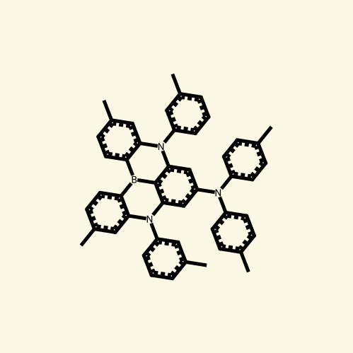 Cc1ccc(N(c2ccc(C)cc2)c2cc3c4c(c2)N(c2cccc(C)c2)c2cc(C)ccc2B4c2ccc(C)cc2N3c2cccc(C)c2)cc1